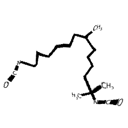 CC(CCCCCCN=C=O)CCCCC(C)(C)N=C=O